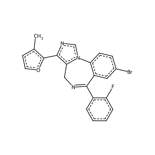 Cc1ccoc1-c1ncn2c1CN=C(c1ccccc1F)c1cc(Br)ccc1-2